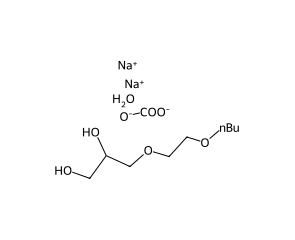 CCCCOCCOCC(O)CO.O.O=C([O-])[O-].[Na+].[Na+]